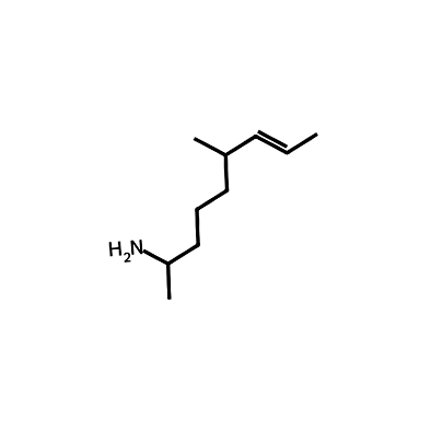 CC=CC(C)CCCC(C)N